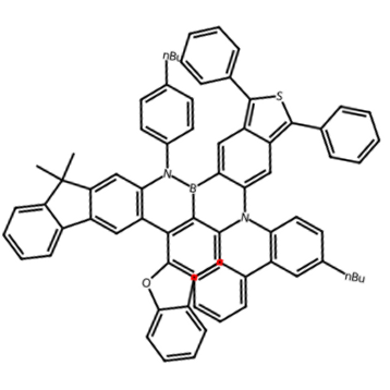 CCCCc1ccc(N2B3c4cc5c(-c6ccccc6)sc(-c6ccccc6)c5cc4N(c4ccc(CCCC)cc4-c4ccccc4)c4cc5c(oc6ccccc65)c(c43)-c3cc4c(cc32)C(C)(C)c2ccccc2-4)cc1